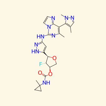 Cc1cnn(C)c1-c1c(C)nc(Nc2cc([C@H]3OC[C@@H](OC(=O)NC4(C)CC4)[C@@H]3F)[nH]n2)n2ccnc12